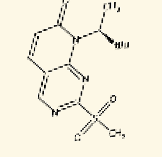 C[C@H](n1c(=O)ccc2cnc(S(C)(=O)=O)nc21)C(C)(C)C